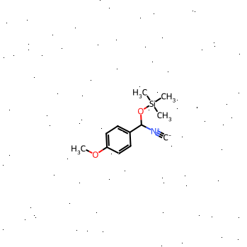 [C-]#[N+]C(O[Si](C)(C)C)c1ccc(OC)cc1